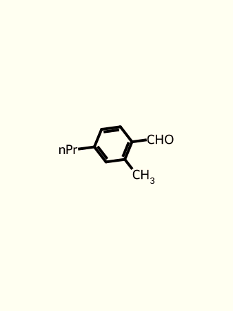 CCCc1ccc(C=O)c(C)c1